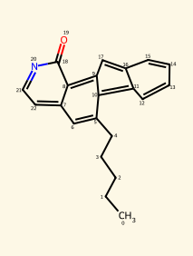 CCCCCc1cc2c(c3c1=c1ccccc1=C3)C(=O)N=CC=2